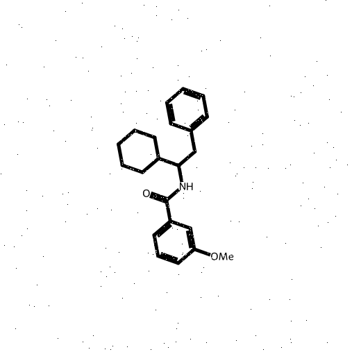 COc1cccc(C(=O)NC(Cc2ccccc2)C2CCCCC2)c1